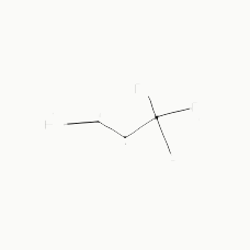 CCC(CC)(CC)CCO